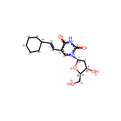 O=c1[nH]c(=O)n([C@H]2C[C@@H](O)[C@@H](CO)O2)cc1/C=C/C1CCCCC1